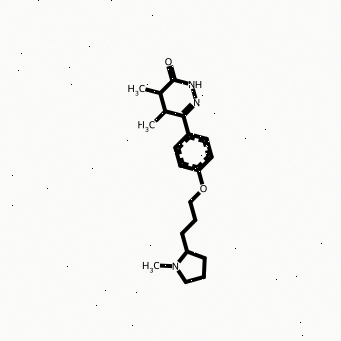 CC1C(=O)NN=C(c2ccc(OCCCC3CCCN3C)cc2)C1C